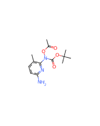 CC(=O)ON(C(=O)OC(C)(C)C)c1nc(N)ccc1C